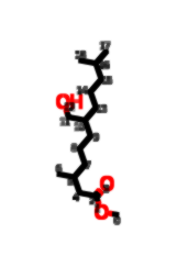 COC(=O)CC(C)CCCC(CO)CCCC(C)C